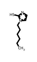 CCCCCCn1ccnc1S